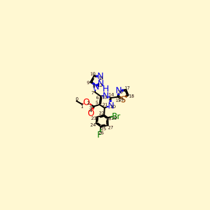 CCOC(=O)C1=C(Cn2ccnn2)NC(c2nccs2)=NC1c1ccc(F)cc1Br